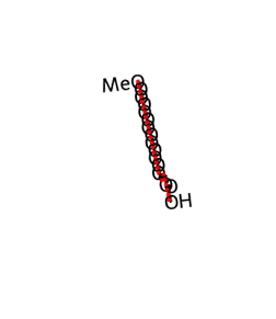 COCCOCCOCCOCCOCCOCCOCCOCCOCCOCCOCCOCCOc1ccc(COC(=O)CCCCCO)cc1